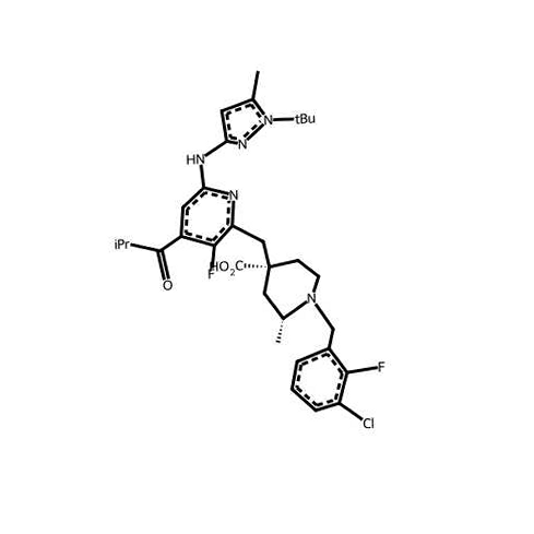 Cc1cc(Nc2cc(C(=O)C(C)C)c(F)c(C[C@@]3(C(=O)O)CCN(Cc4cccc(Cl)c4F)[C@H](C)C3)n2)nn1C(C)(C)C